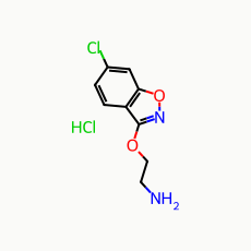 Cl.NCCOc1noc2cc(Cl)ccc12